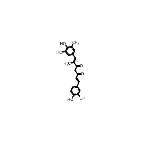 C/C(=C\c1cc(C)c(O)c(O)c1)C(=O)CC(=O)/C=C/c1ccc(O)c(O)c1